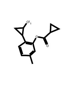 Cc1ccc(C2CC2C(F)(F)F)c(OC(=O)C2CC2)c1